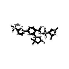 Cc1nn(C)cc1S(=O)(=O)NC(=O)c1ccc(-n2ccc([Si](C)(C)C(C)(C)C)n2)nc1N1C[C@@H](C)CC1(C)C